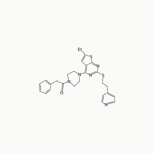 CCc1cc2c(N3CCN(C(=O)Cc4ccccc4)CC3)nc(SCCc3ccncc3)nc2s1